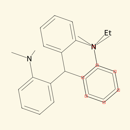 CCN(c1ccccc1)c1ccccc1C(c1ccccc1N(C)C)c1ccccc1N(C)C